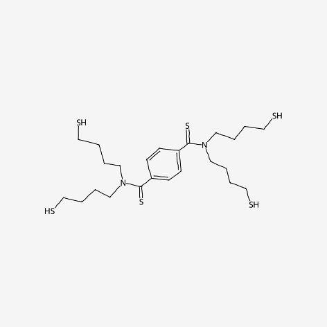 S=C(c1ccc(C(=S)N(CCCCS)CCCCS)cc1)N(CCCCS)CCCCS